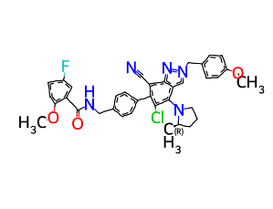 COc1ccc(Cn2cc3c(N4CCC[C@H]4C)c(Cl)c(-c4ccc(CNC(=O)c5cc(F)ccc5OC)cc4)c(C#N)c3n2)cc1